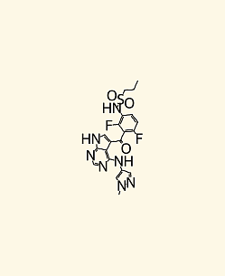 CCCS(=O)(=O)Nc1ccc(F)c(C(=O)c2c[nH]c3ncnc(Nc4cnn(C)c4)c23)c1F